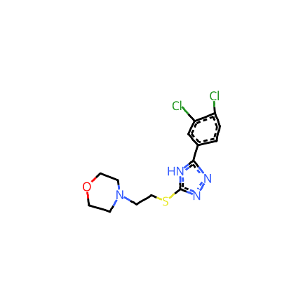 Clc1ccc(-c2nnc(SCCN3CCOCC3)[nH]2)cc1Cl